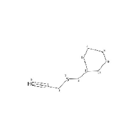 C#CCSCC1CCCCC1